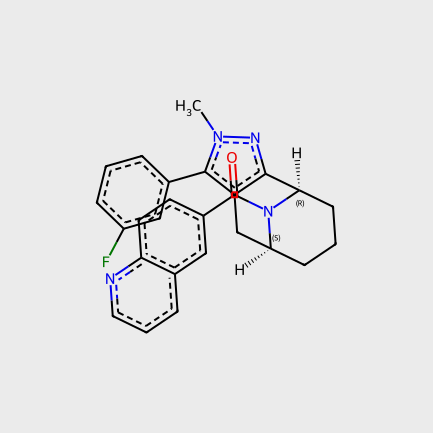 Cn1nc2c(c1-c1cccc(F)c1)C[C@@H]1CCC[C@H]2N1C(=O)c1ccc2ncccc2c1